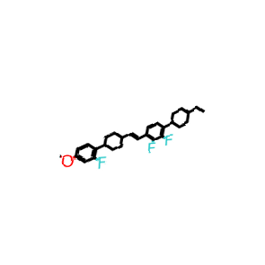 CCC1CCC(c2ccc(/C=C/C3CCC(c4ccc(OC)cc4F)CC3)c(F)c2F)CC1